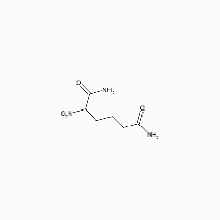 NC(=O)CCCC(C(N)=O)[N+](=O)[O-]